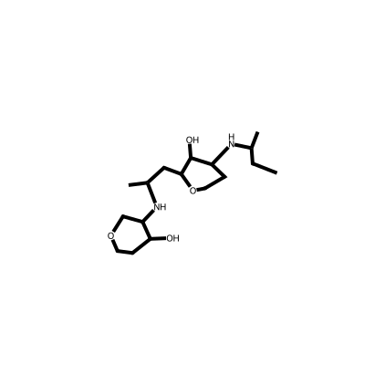 CCC(C)NC1CCOC(CC(C)NC2COCCC2O)C1O